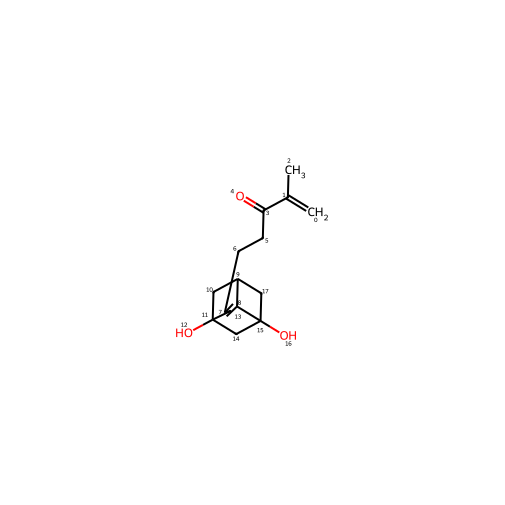 C=C(C)C(=O)CCC1=C2C3CC(O)(C1)CC2(O)C3